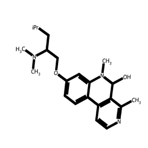 Cc1nccc2c1C(O)N(C)c1cc(OCC(CC(C)C)N(C)C)ccc1-2